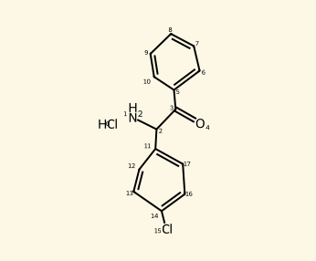 Cl.NC(C(=O)c1ccccc1)c1ccc(Cl)cc1